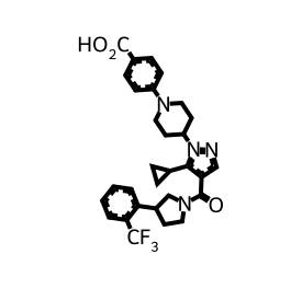 O=C(O)c1ccc(N2CCC(n3ncc(C(=O)N4CCC(c5ccccc5C(F)(F)F)C4)c3C3CC3)CC2)cc1